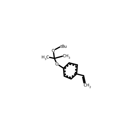 C=Cc1ccc(OC(C)(C)OC(C)(C)C)cc1